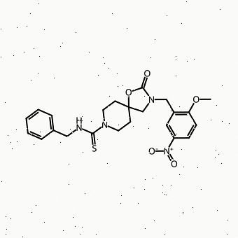 COc1ccc([N+](=O)[O-])cc1CN1CC2(CCN(C(=S)NCc3ccccc3)CC2)OC1=O